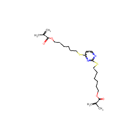 C=C(C)C(=O)OCCCCCCSc1ccnc(SCCCCCCOC(=O)C(=C)C)n1